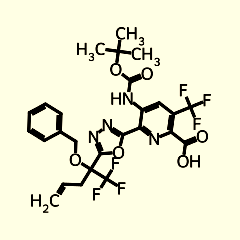 C=CCC(OCc1ccccc1)(c1nnc(-c2nc(C(=O)O)c(C(F)(F)F)cc2NC(=O)OC(C)(C)C)o1)C(F)(F)F